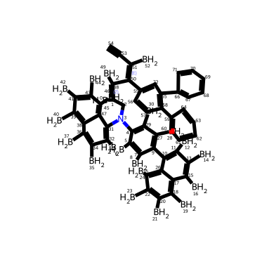 B/C(CN(c1c(B)c(B)c(-c2c(B)c(B)c(B)c3c(B)c(B)c(B)c(B)c23)c(B)c1B)c1c(B)c(B)c(B)c2c(B)c(B)c(B)c(B)c12)=C(B)/C(=C(/B)C#C)c1ccc(-c2ccccc2)c(-c2ccccc2)c1